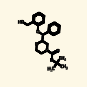 CC(C)(C)OC(=O)N1CCOC([C@@H](Oc2ccccc2CO)c2ccccc2)C1